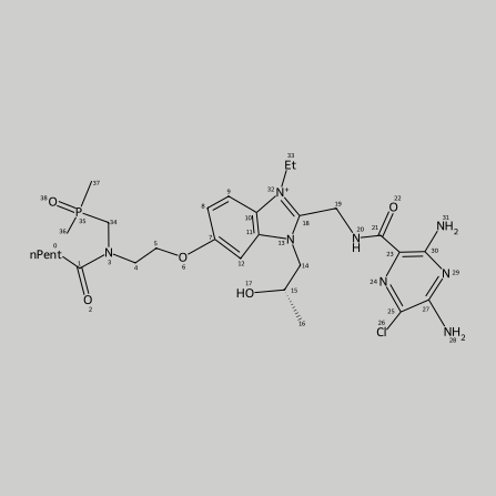 CCCCCC(=O)N(CCOc1ccc2c(c1)n(C[C@H](C)O)c(CNC(=O)c1nc(Cl)c(N)nc1N)[n+]2CC)CP(C)(C)=O